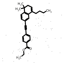 CCCCC1=CCC(C)(C)c2ccc(C#Cc3ccc(C(=O)OCC)cc3)cc21